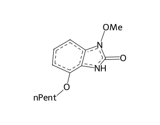 CCCCCOc1cccc2c1[nH]c(=O)n2OC